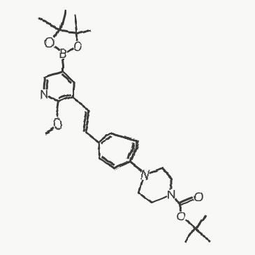 COc1ncc(B2OC(C)(C)C(C)(C)O2)cc1C=Cc1ccc(N2CCN(C(=O)OC(C)(C)C)CC2)cc1